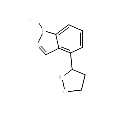 Cn1ncc2c(C3CCON3)cccc21